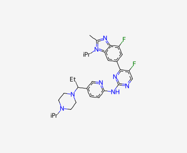 CCC(c1ccc(Nc2ncc(F)c(-c3cc(F)c4nc(C)n(C(C)C)c4c3)n2)nc1)N1CCN(C(C)C)CC1